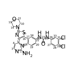 Nc1nccc(-c2nc(N3CCOCC3)sc2-c2cccc(NC(=O)Nc3ccc(Cl)c(Cl)c3)c2)n1